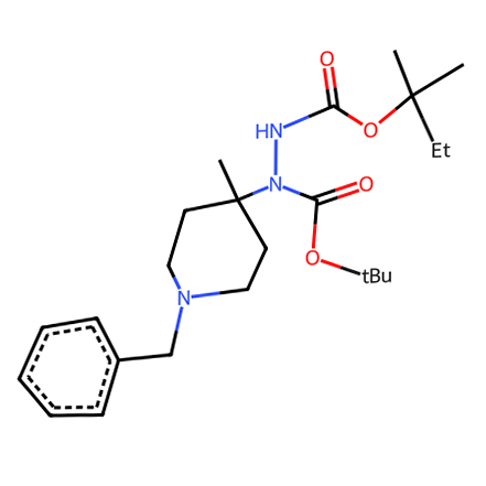 CCC(C)(C)OC(=O)NN(C(=O)OC(C)(C)C)C1(C)CCN(Cc2ccccc2)CC1